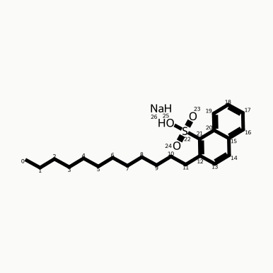 CCCCCCCCCCCCc1ccc2ccccc2c1S(=O)(=O)O.[NaH]